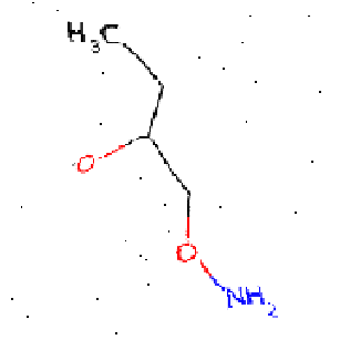 CCC([O])CON